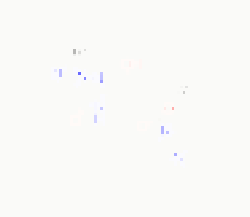 CCCc1nc(C)c2c(=O)[nH]c(-c3cc(S(=O)(=O)N4CCN(C)CC4)c(OC)cc3O)nn12